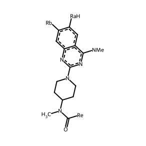 CNc1nc(N2CCC(N(C)[C](=O)[Re])CC2)nc2c[c]([Rb])[c]([RaH])cc12